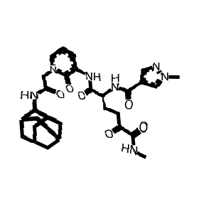 CNC(=O)C(=O)CC[C@H](NC(=O)c1cnn(C)c1)C(=O)Nc1cccn(CC(=O)NC2C3CC4CC(C3)CC2C4)c1=O